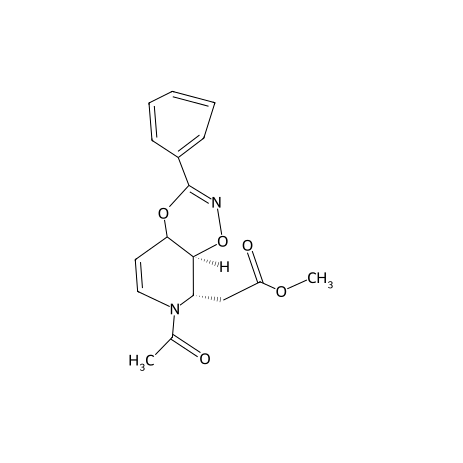 COC(=O)C[C@H]1[C@@H]2ON=C(c3ccccc3)OC2C=CN1C(C)=O